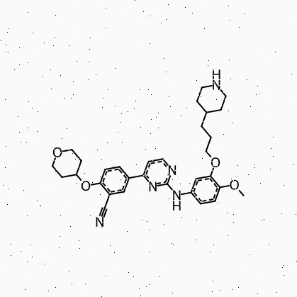 COc1ccc(Nc2nccc(-c3ccc(OC4CCOCC4)c(C#N)c3)n2)cc1OCCCC1CCNCC1